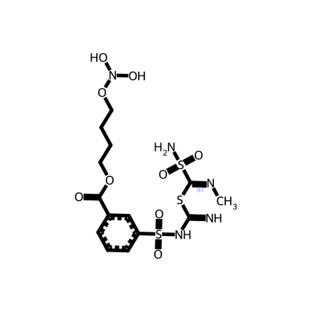 C/N=C(\SC(=N)NS(=O)(=O)c1cccc(C(=O)OCCCCON(O)O)c1)S(N)(=O)=O